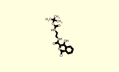 CC(C)(C)OC(=O)NCCNC(=O)c1nc(Cl)c2ccccc2c1O